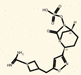 N=C(N)N1CC(Cc2cc([C@@H]3CC[C@@H]4CN3C(=O)N4OS(=O)(=O)O)no2)C1